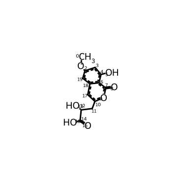 COc1cc(O)c2c(=O)oc(C[C@H](O)C(=O)O)cc2c1